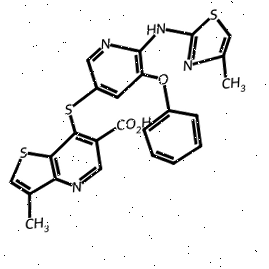 Cc1csc(Nc2ncc(Sc3c(C(=O)O)cnc4c(C)csc34)cc2Oc2ccccc2)n1